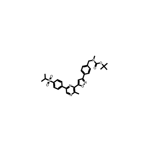 Cc1ncc(-c2ccc(S(=O)(=O)C(C)C)cc2)nc1-c1cc(-c2ccc(CN(C)C(=O)OC(C)(C)C)cc2)no1